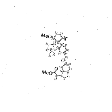 COC(=O)[C@H](C)[C@@H]1CCc2ccc(OCc3ccc(-c4cc(OC)ccc4F)c([C@H]4CCCC4(C)C)c3)cc21